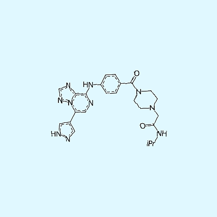 CC(C)NC(=O)CN1CCN(C(=O)c2ccc(Nc3ncc(-c4cn[nH]c4)n4ncnc34)cc2)CC1